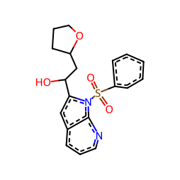 O=S(=O)(c1ccccc1)n1c(C(O)CC2CCCO2)cc2cccnc21